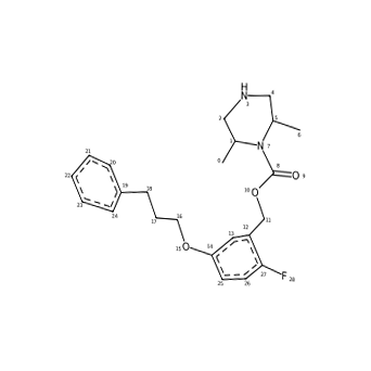 CC1CNCC(C)N1C(=O)OCc1cc(OCCCc2ccccc2)ccc1F